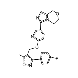 Cc1onc(-c2ccc(F)cc2)c1COc1ccc(-c2ncc3n2CCOC3)cn1